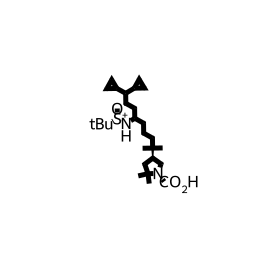 CC(C)(CCCC(CCC(C1CC1)C1CC1)N[S+]([O-])C(C)(C)C)[C@H]1CN(C(=O)O)C(C)(C)C1